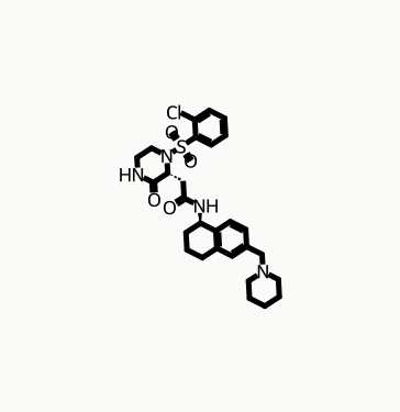 O=C(C[C@@H]1C(=O)NCCN1S(=O)(=O)c1ccccc1Cl)N[C@@H]1CCCc2cc(CN3CCCCC3)ccc21